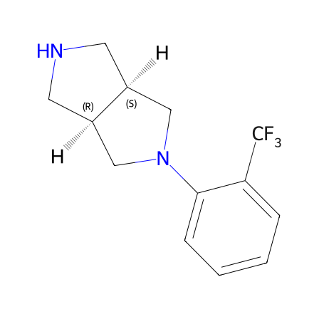 FC(F)(F)c1ccccc1N1C[C@H]2CNC[C@H]2C1